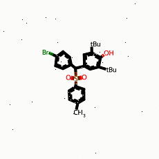 Cc1ccc(S(=O)(=O)C(c2ccc(Br)cc2)c2cc(C(C)(C)C)c(O)c(C(C)(C)C)c2)cc1